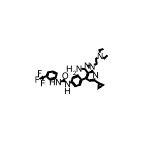 CCN(CC)CCn1nc(N)c2c(-c3ccc(NC(=O)Nc4cccc(C(F)(F)F)c4)cc3)cc(C3CC3)nc21